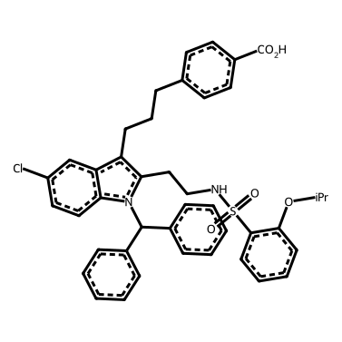 CC(C)Oc1ccccc1S(=O)(=O)NCCc1c(CCCc2ccc(C(=O)O)cc2)c2cc(Cl)ccc2n1C(c1ccccc1)c1ccccc1